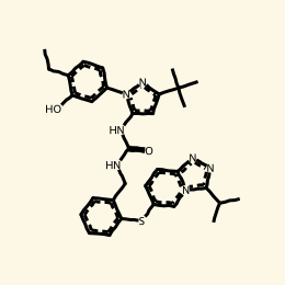 CCc1ccc(-n2nc(C(C)(C)C)cc2NC(=O)NCc2ccccc2Sc2ccc3nnc(C(C)C)n3c2)cc1O